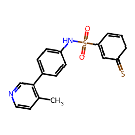 Cc1ccncc1-c1ccc(NS(=O)(=O)C2=CC(=S)CC=C2)cc1